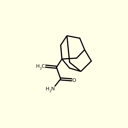 C=C(C(N)=O)C12CC3CC(CC(C3)C1)C2